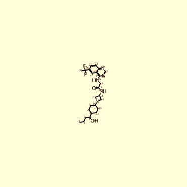 CCCC(O)C1CCC(N2CC(NC(=O)CNc3ncnc4ccc(C(F)(F)F)cc34)C2)CC1